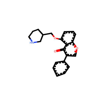 O=c1c(-c2ccccc2)coc2cccc(OCC3CCCNC3)c12